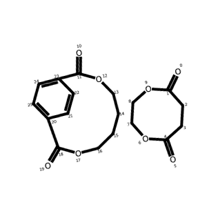 O=C1CCC(=O)OCCO1.O=C1OCCCCOC(=O)c2ccc1cc2